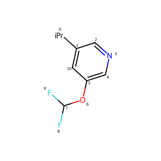 CC(C)c1[c]ncc(OC(F)F)c1